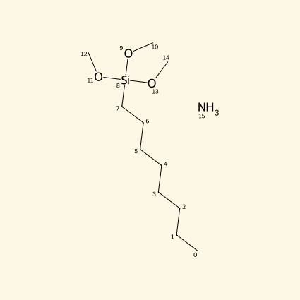 CCCCCCCC[Si](OC)(OC)OC.N